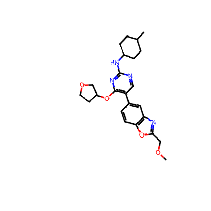 COCc1nc2cc(-c3cnc(NC4CCC(C)CC4)nc3OC3CCOC3)ccc2o1